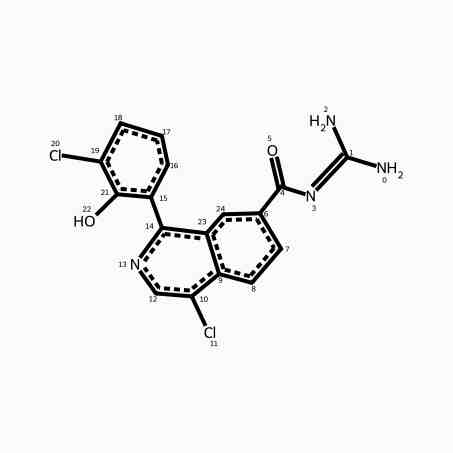 NC(N)=NC(=O)c1ccc2c(Cl)cnc(-c3cccc(Cl)c3O)c2c1